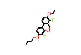 CCCCOc1ccc2c(c1F)OCc1c-2ccc(OCC)c1F